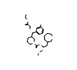 CCNC(=O)CO[C@@H](c1cccc(Cl)c1)C1CCCN(C(=O)N[C@H](CNC)CC2CCCCOC2)C1